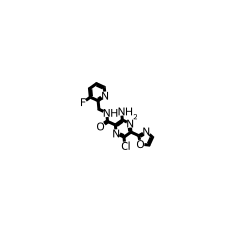 Nc1nc(-c2ncco2)c(Cl)nc1C(=O)NCc1ncccc1F